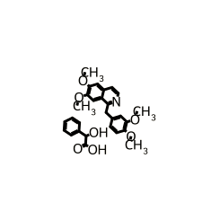 COc1ccc(Cc2nccc3cc(OC)c(OC)cc23)cc1OC.O=C(O)C(O)c1ccccc1